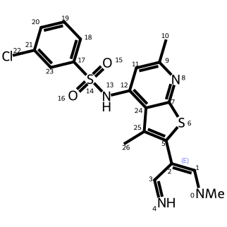 CN/C=C(\C=N)c1sc2nc(C)cc(NS(=O)(=O)c3cccc(Cl)c3)c2c1C